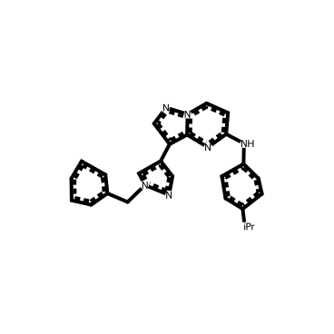 CC(C)c1ccc(Nc2ccn3ncc(-c4cnn(Cc5ccccc5)c4)c3n2)cc1